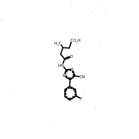 CC(CC(=O)O)CC(=O)Nc1nc(-c2cccc(F)c2)c(C#N)s1